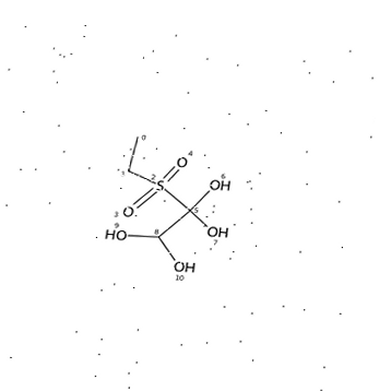 CCS(=O)(=O)C(O)(O)C(O)O